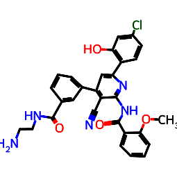 COc1ccccc1C(=O)Nc1nc(-c2ccc(Cl)cc2O)cc(-c2cccc(C(=O)NCCN)c2)c1C#N